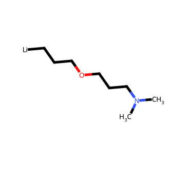 [Li][CH2]CCOCCCN(C)C